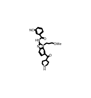 COCCCn1c(NC(=O)c2cccc(C#N)c2)nc2ccc(C(=O)C3CCNCC3)cc21